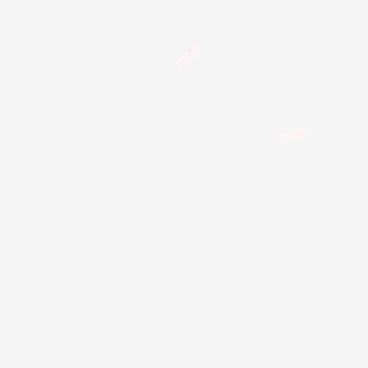 O=Cc1ccc(C2(c3cccc(C=O)c3)c3ccccc3-c3ccccc32)cc1